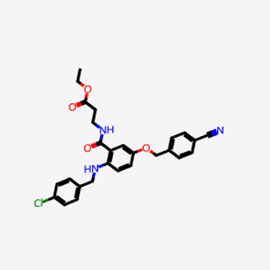 CCOC(=O)CCNC(=O)c1cc(OCc2ccc(C#N)cc2)ccc1NCc1ccc(Cl)cc1